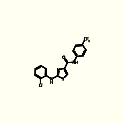 O=C(Nc1ccc(C(F)(F)F)cc1)c1csc(Nc2ccccc2Cl)n1